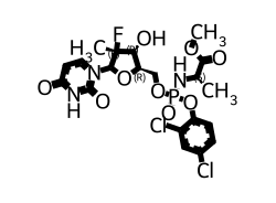 COC(=O)[C@H](C)NP(=O)(OC[C@H]1OC(n2ccc(=O)[nH]c2=O)[C@](C)(F)[C@@H]1O)Oc1ccc(Cl)cc1Cl